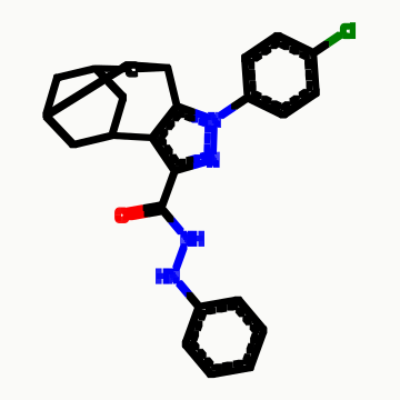 O=C(NNc1ccccc1)c1nn(-c2ccc(Cl)cc2)c2c1C1CC3CC(C1)CC2C3